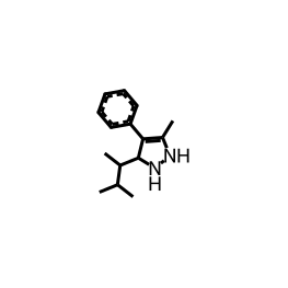 CC1=C(c2ccccc2)C(C(C)C(C)C)NN1